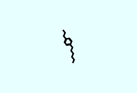 CC[CH]c1ccc(CCCCCC)cc1